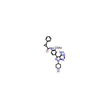 COc1cc(-c2nn(C3CCNCC3)c3ncnc(N)c23)ccc1NC(=O)C1CC1c1ccccc1